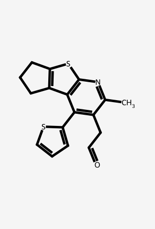 Cc1nc2sc3c(c2c(-c2cccs2)c1CC=O)CCC3